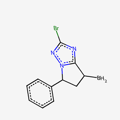 BC1CC(c2ccccc2)n2nc(Br)nc21